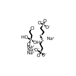 O=P(O)(O)CCCl.O=P([O-])([O-])CCSSCCP(=O)([O-])[O-].[Na+].[Na+].[Na+].[Na+]